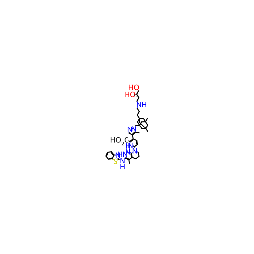 CC1=C(Nc2nc3ccccc3s2)NNC2=C1CCCN2c1ccc(-c2cnn(CC34CC5(C)CC(C)(CC(CCCNCC[C@H](O)CO)(C5)C3)C4)c2C)c(C(=O)O)n1